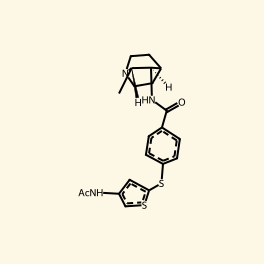 CC(=O)Nc1csc(Sc2ccc(C(=O)N[C@@H]3C4CCN(CC4)[C@H]3C)cc2)c1